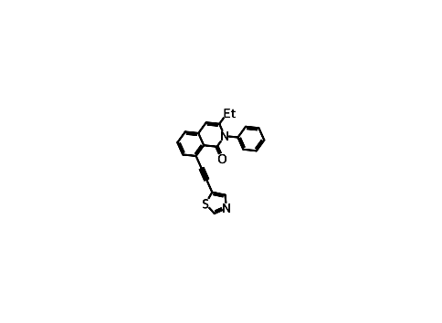 CCc1cc2cccc(C#Cc3cncs3)c2c(=O)n1-c1ccccc1